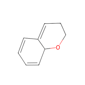 C1=CC2=CCCOC2C=C1